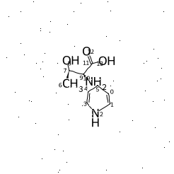 C1=CNC=CC1.C[C@@H](O)[C@H](N)C(=O)O